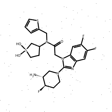 N[C@@H]1CN(c2nc3cc(F)c(F)cc3n2CC(=O)N(Cc2cccs2)C2CCS(O)(O)C2)CC[C@H]1F